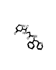 O=C1CCNC(C(=O)NCC(=O)NC(Cc2ccccn2)c2ccccc2)C1